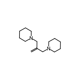 C=C(CN1CCCCC1)CN1CCCCC1